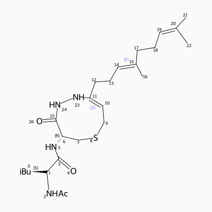 CC[C@H](C)C(NC(C)=O)C(=O)N[C@H]1CSC/C=C(/CC/C=C(\C)CCC=C(C)C)NNC1=O